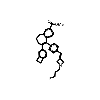 COC(=O)c1ccc2c(c1)CCCC(c1ccc3c(c1)CC3)=C2c1ccc(C=C2CN(CCCF)C2)cc1